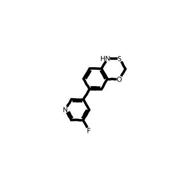 Fc1cncc(-c2ccc3c(c2)OCSN3)c1